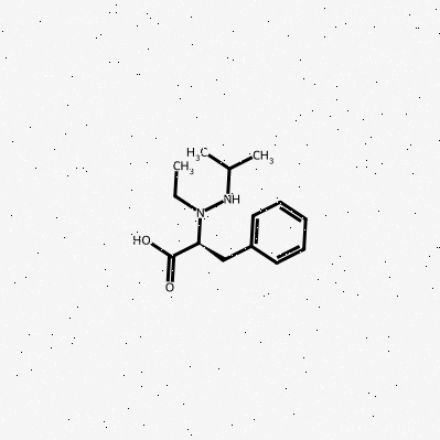 CCN(NC(C)C)[C@@H](Cc1ccccc1)C(=O)O